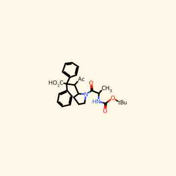 CC(=O)C(C1CCCN1C(=O)C(C)NC(=O)OC(C)(C)C)C(C(=O)O)(c1ccccc1)c1ccccc1